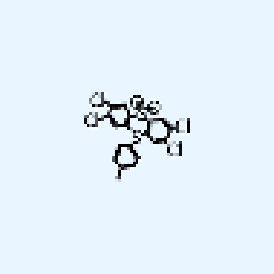 Cc1ccc([S+]2c3cc(Cl)c(Cl)cc3S(=O)(=O)c3cc(Cl)c(Cl)cc32)cc1